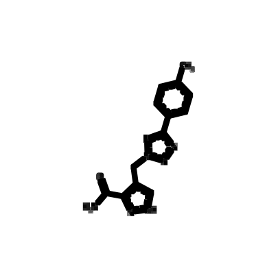 Cc1ccc(-c2nnn(Cc3c[nH]nc3C(N)=O)n2)cc1